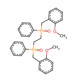 COc1ccccc1CP(=O)(CCP(=O)(Cc1ccccc1OC)c1ccccc1)c1ccccc1